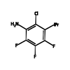 CC(C)c1c(F)c(F)c(F)c(N)c1Cl